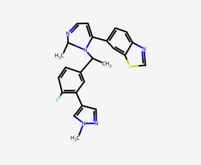 CC1N=CC=C(c2ccc3ncsc3c2)N1C(C)c1ccc(F)c(-c2cnn(C)c2)c1